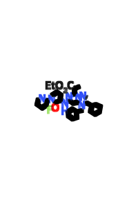 C=NN1C(N(Cc2ccccc2)Cc2ccccc2)=CC(Nc2cccn(-c3ncccc3F)c2=O)=N/C1=C(/C)C(=O)OCC